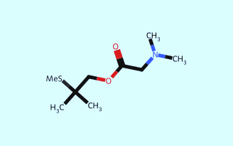 CSC(C)(C)COC(=O)CN(C)C